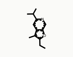 CCc1oc2cnc(C(C)C)cc2c1C